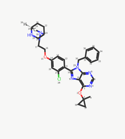 CC1(Oc2ncnc3c2nc(-c2ccc(OCCN4C[C@@H]5CCC4CN5)cc2Cl)n3Cc2ccccc2)CC1